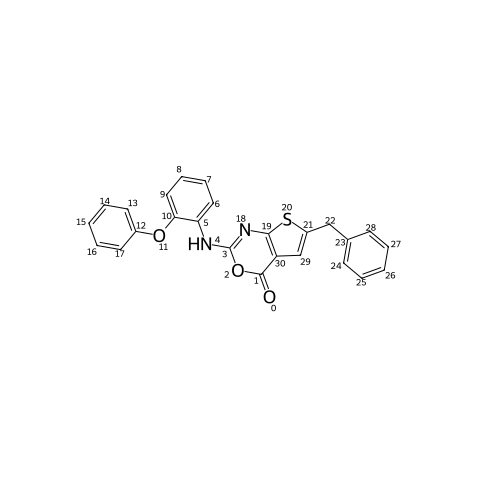 O=c1oc(Nc2ccccc2Oc2ccccc2)nc2sc(Cc3ccccc3)cc12